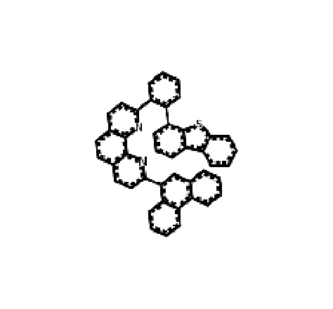 c1ccc(-c2cccc3c2sc2ccccc23)c(-c2ccc3ccc4ccc(-c5cc6ccccc6c6ccccc56)nc4c3n2)c1